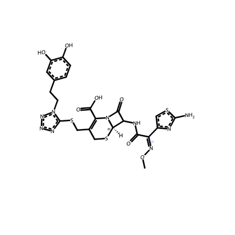 CO/N=C(\C(=O)NC1C(=O)N2C(C(=O)O)=C(CSc3nnnn3CCc3ccc(O)c(O)c3)CS[C@H]12)c1csc(N)n1